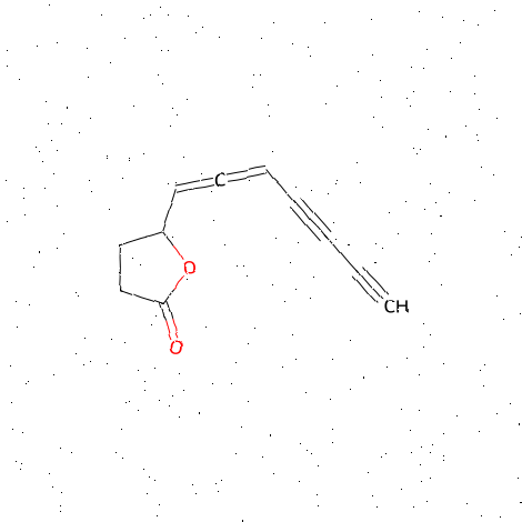 C#CC#CC=C=CC1CCC(=O)O1